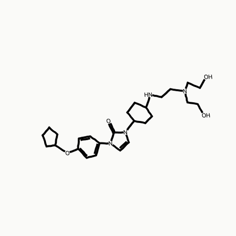 O=c1n(-c2ccc(OC3CCCC3)cc2)ccn1C1CCC(NCCN(CCO)CCO)CC1